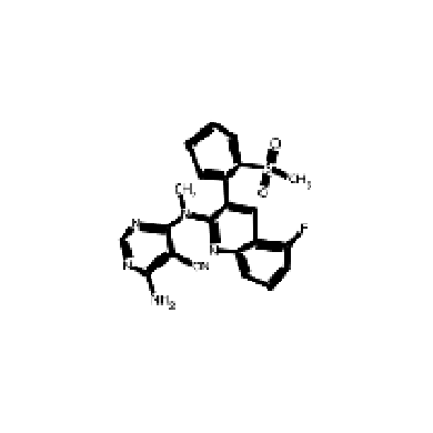 CN(c1nc2cccc(F)c2cc1-c1ccccc1S(C)(=O)=O)c1ncnc(N)c1C#N